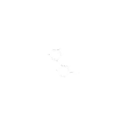 Cc1ccnc(-c2ccccn2)n1